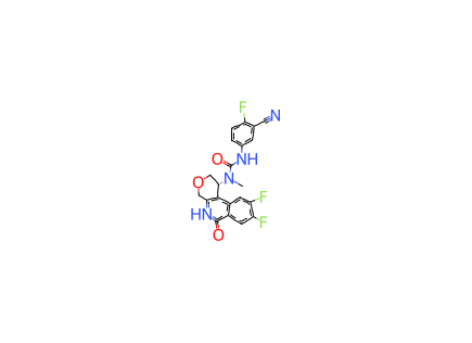 CN(C(=O)Nc1ccc(F)c(C#N)c1)[C@H]1COCc2[nH]c(=O)c3cc(F)c(F)cc3c21